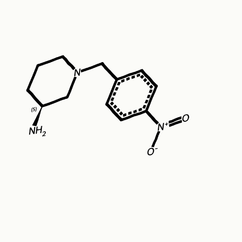 N[C@H]1CCCN(Cc2ccc([N+](=O)[O-])cc2)C1